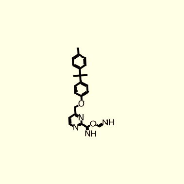 Cc1ccc(C(C)(C)c2ccc(OCc3ccnc(C(=N)OC=N)n3)cc2)cc1